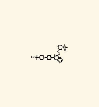 CC(C)(O)C1CCN(c2ccc(-c3cc4nccnc4c(OC[C@@H]4CN(S(C)(=O)=O)CCO4)n3)cc2)CC1